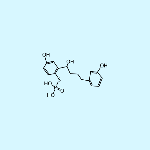 O=P(O)(O)Sc1ccc(O)cc1C(O)CCCc1cccc(O)c1